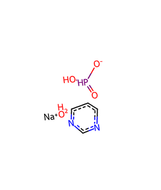 O.O=[PH]([O-])O.[Na+].c1cncnc1